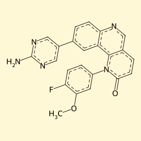 COc1cc(-n2c(=O)ccc3cnc4ccc(-c5cnc(N)nc5)cc4c32)ccc1F